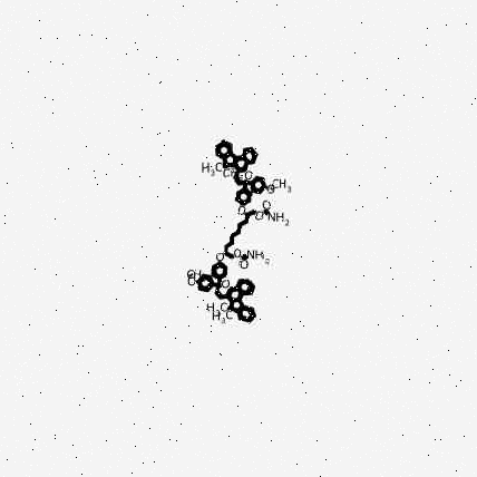 COc1ccc(C2(c3ccc(OC(CCCCCCC(COC(N)=O)Oc4ccc(C5(c6ccc(OC)cc6)C=Cc6c7c(c8ccccc8c6O5)-c5ccccc5C7(C)C)cc4)COC(N)=O)cc3)C=Cc3c4c(c5ccccc5c3O2)-c2ccccc2C4(C)C)cc1